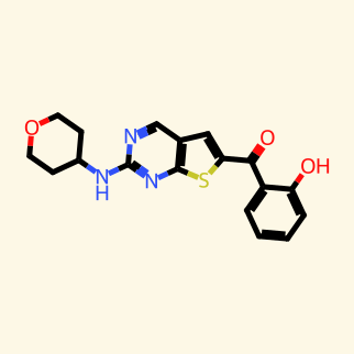 O=C(c1cc2cnc(NC3CCOCC3)nc2s1)c1ccccc1O